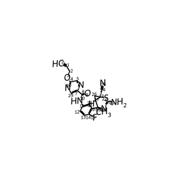 C#CCOc1cnc(C(=O)Nc2ccc(F)c([C@@]3(C)N=C(N)S[C@@]4(C#N)C[C@H]43)c2)cn1